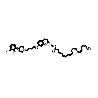 CCC/C=C\C/C=C\C/C=C\C/C=C\C/C=C\CCCC(=O)OCOC1=Nc2cc(OCCCCN3CCN(c4cccc(Cl)c4Cl)CC3)ccc2CC1